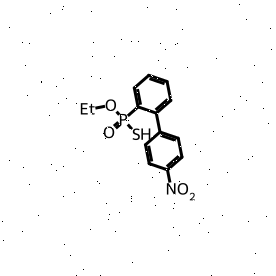 CCOP(=O)(S)c1ccccc1-c1ccc([N+](=O)[O-])cc1